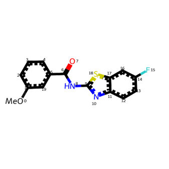 COc1cccc(C(=O)Nc2nc3ccc(F)cc3s2)c1